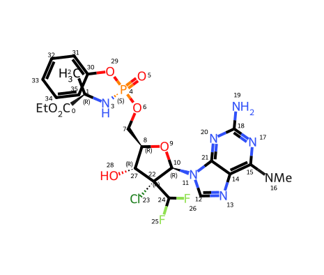 CCOC(=O)[C@@H](C)N[P@](=O)(OC[C@H]1O[C@@H](n2cnc3c(NC)nc(N)nc32)[C@@](Cl)(C(F)F)[C@@H]1O)Oc1ccccc1